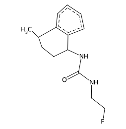 CC1CCC(NC(=O)NCCF)c2ccccc21